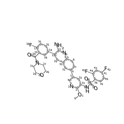 COc1ncc(-c2ccc3nc(N)c(-c4ccc(F)c(C(=O)N5CCOCC5)c4)cc3c2)cc1NS(=O)(=O)c1ccc(F)cc1F